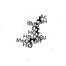 CC[C@@H](C)[C@H](CC(O)CC(C)=O)OC(=O)C[C@@H](O)C[C@H](OC(O)[C@@H](O)[C@H](CO)OC)[C@H](C)CC